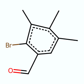 Cc1cc(C=O)c(Br)c(C)c1C